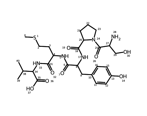 CSCCC(NC(=O)C(Cc1ccc(O)cc1)NC(=O)C1CCCN1C(=O)C(N)CO)C(=O)NC(C(=O)O)C(C)C